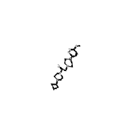 COc1ccc(N2CCN(CC(=O)N3CCN(C4CCC4)CC3)CC2)nn1